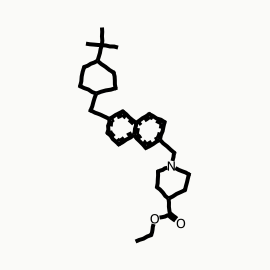 CCOC(=O)C1CCN(Cc2ccc3cc(CC4CCC(C(C)(C)C)CC4)ccc3c2)CC1